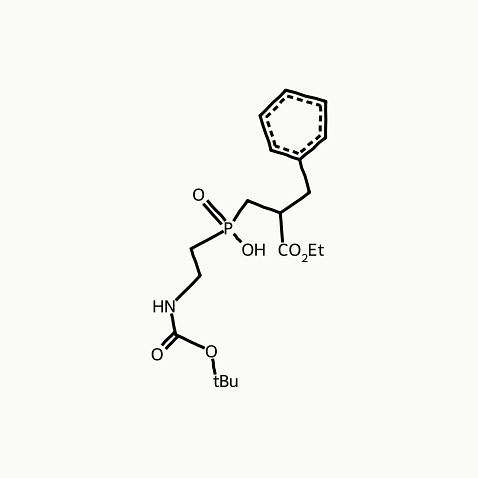 CCOC(=O)C(Cc1ccccc1)CP(=O)(O)CCNC(=O)OC(C)(C)C